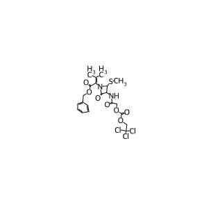 CSC1C(NC(=O)COC(=O)OCC(Cl)(Cl)Cl)C(=O)N1C(C(=O)OCc1ccccc1)=C(C)C